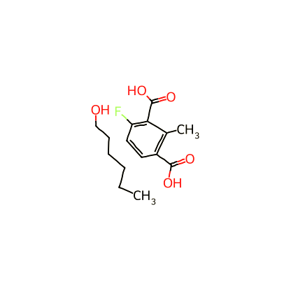 CCCCCCO.Cc1c(C(=O)O)ccc(F)c1C(=O)O